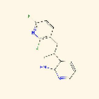 Fc1ccc(CC2CNC3N=CC=CC23)c(F)n1